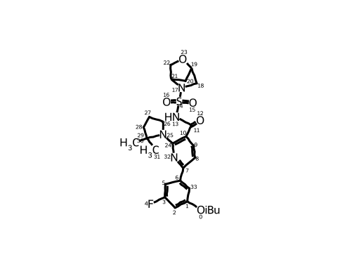 CC(C)COc1cc(F)cc(-c2ccc(C(=O)NS(=O)(=O)N3CC4CC3CO4)c(N3CCCC3(C)C)n2)c1